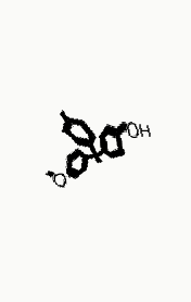 COc1ccc(C(C)(c2ccc(C)cc2)c2ccc(CO)cc2)cc1